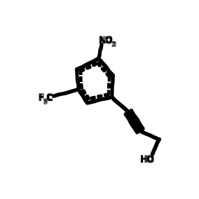 O=[N+]([O-])c1cc(C#CCO)cc(C(F)(F)F)c1